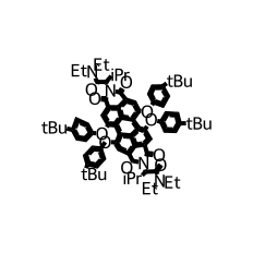 CCN(CC)C(=O)C(C(C)C)N1C(=O)c2cc(Oc3ccc(C(C)(C)C)cc3)c3c4c(Oc5ccc(C(C)(C)C)cc5)cc5c6c(cc(Oc7ccc(C(C)(C)C)cc7)c(c7c(Oc8ccc(C(C)(C)C)cc8)cc(c2c37)C1=O)c64)C(=O)N(C(C(=O)N(CC)CC)C(C)C)C5=O